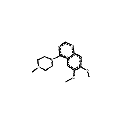 COc1cc2ncnc(N3CCN(C)CC3)c2cc1OC